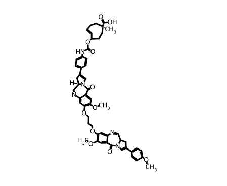 COc1ccc(C2=CN3C(=O)c4cc(OC)c(OCCCOc5cc6c(cc5OC)C(=O)N5C=C(c7ccc(NC(=O)O[C@H]8/C=C/CC[C@@](C)(C(=O)O)CC8)cc7)C[C@H]5C=N6)cc4N=CC3C2)cc1